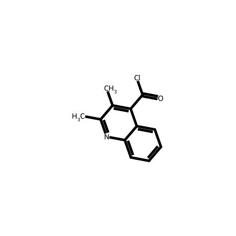 Cc1nc2ccccc2c(C(=O)Cl)c1C